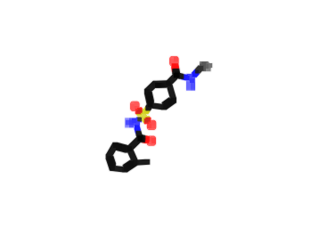 Cc1ccccc1C(=O)NS(=O)(=O)c1ccc(C(=O)NC(C)C)cc1